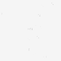 O=C(O)Cc1nc(NC(=O)c2nc(Sc3ccccn3)ccc2Sc2ccc(F)cc2)sc1Cl